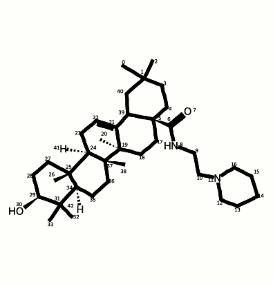 CC1(C)CC[C@]2(C(=O)NCCN3CCCCC3)CC[C@]3(C)C(=CC[C@@H]4[C@@]5(C)CC[C@H](O)C(C)(C)[C@@H]5CC[C@]43C)C2C1